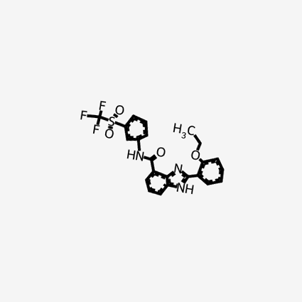 CCOc1ccccc1-c1nc2c(C(=O)Nc3cccc(S(=O)(=O)C(F)(F)F)c3)cccc2[nH]1